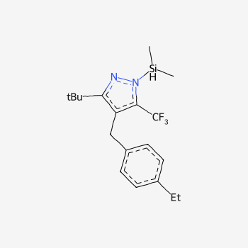 CCc1ccc(Cc2c(C(C)(C)C)nn([SiH](C)C)c2C(F)(F)F)cc1